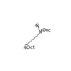 CCCCCCCCC=CCCCCCCCCN(CCCCCCCCCC)CCN(C)C